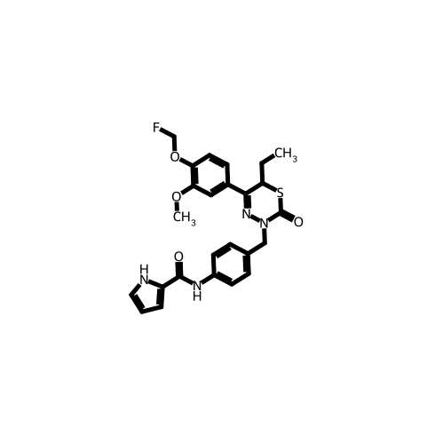 CCC1SC(=O)N(Cc2ccc(NC(=O)c3ccc[nH]3)cc2)N=C1c1ccc(OCF)c(OC)c1